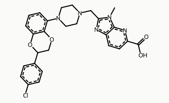 Cn1c(CN2CCN(c3cccc4c3OCC(c3ccc(Cl)cc3)O4)CC2)nc2ccc(C(=O)O)nc21